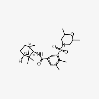 Cc1cc(C(=O)N[C@H]2C(C)(C)[C@@H]3CC[C@@]2(C)C3)cc(S(=O)(=O)N2CC(C)OC(C)C2)c1C